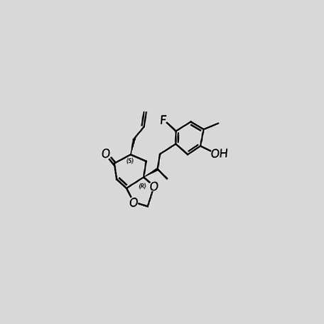 C=CC[C@H]1C[C@]2(C(C)Cc3cc(O)c(C)cc3F)OCOC2=CC1=O